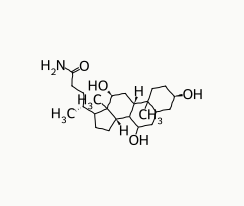 C[C@H](CCC(N)=O)C1CC[C@H]2C3C(O)CC4C[C@H](O)CCC4(C)[C@H]3C[C@H](O)C12C